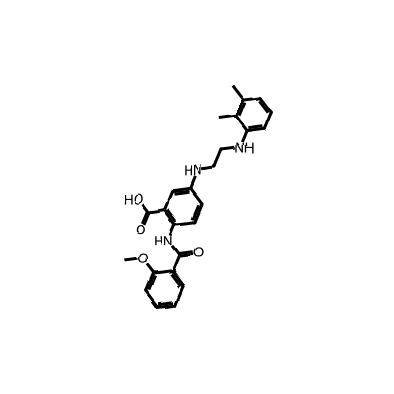 COc1ccccc1C(=O)Nc1ccc(NCCNc2cccc(C)c2C)cc1C(=O)O